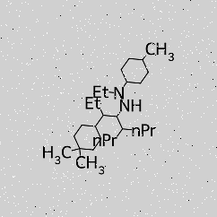 CCCC(CCC)C(NN(CC)C1CCC(C)CC1)C(CC)C1CCC(C)(C)CC1